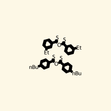 CCCCc1ccc(C(=S)OC(=S)c2ccc(CCCC)cc2)cc1.CCc1cccc(C(=S)OC(=S)c2cccc(CC)c2)c1